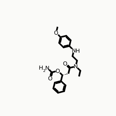 CCN(CCNc1ccc(OC)cc1)C(=O)C[C@@H](OC(N)=O)c1ccccc1